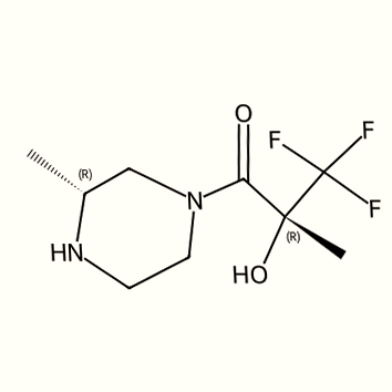 C[C@@H]1CN(C(=O)[C@@](C)(O)C(F)(F)F)CCN1